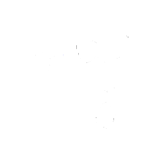 COC(=O)/C=C/c1cccc(-c2cc(C(=O)Nc3ccncc3)ccc2CN)c1